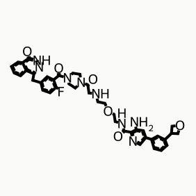 Nc1cc(-c2cccc(C3COC3)c2)cnc1C(=O)NCCOCCNCC(=O)N1CCN(C(=O)c2cc(Cc3n[nH]c(=O)c4ccccc34)ccc2F)CC1